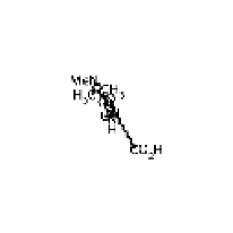 CNc1cc(C)c(/C=C/S(=O)(=O)N2CCC3(CC2)N=C(CCCCCCCCCC(=O)O)NC3=O)c(C)c1